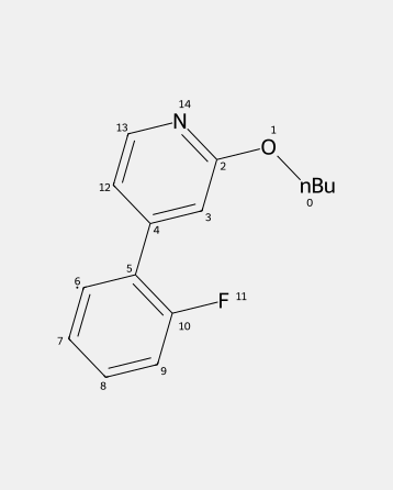 CCCCOc1cc(-c2[c]cccc2F)ccn1